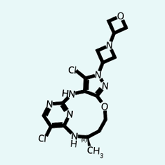 C[C@@H]1CCOc2nn(C3CN(C4COC4)C3)c(Cl)c2Nc2ncc(Cl)c(n2)N1